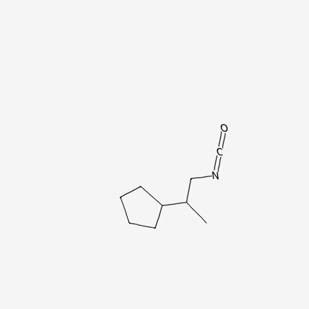 CC(CN=C=O)C1CCCC1